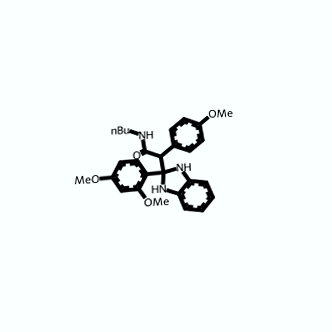 CCCCNC(=O)C(c1ccc(OC)cc1)C1(c2ccc(OC)cc2OC)Nc2ccccc2N1